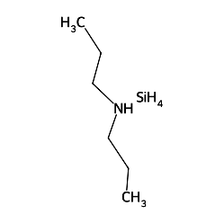 CCCNCCC.[SiH4]